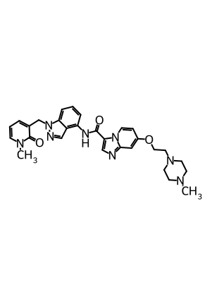 CN1CCN(CCOc2ccn3c(C(=O)Nc4cccc5c4cnn5Cc4cccn(C)c4=O)cnc3c2)CC1